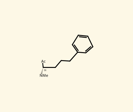 CN[C@@H](CCCc1ccccc1)C(C)=O